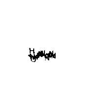 CCNC(=O)N1CCC2(CCn3nc(-c4cnc5cc(N(C)C)ncc5c4)cc32)C1